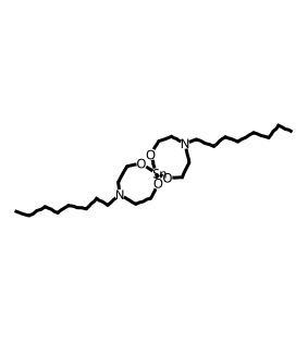 CCCCCCCCN1CC[O][Sn]2([O]CC1)[O]CCN(CCCCCCCC)CC[O]2